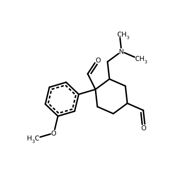 COc1cccc(C2(C=O)CCC(C=O)CC2CN(C)C)c1